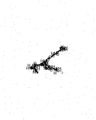 CNCC(=O)N[C@@H](Cc1c[nH]cn1)C(=O)NC(CCCCn1cc(CC(NC(=O)COCCOCCOCCNC(=O)CCCC[C@H]2SC[C@H]3NC(=O)N[C@H]32)C(=O)N[C@@H](Cc2c[nH]cn2)C(=O)NCC(=O)N[C@H](C=O)CCCNC(=N)N)nn1)C(N)=O